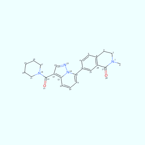 CN1CCc2ccc(-c3cccc4c(C(=O)N5CCCCC5)cnn34)cc2C1=O